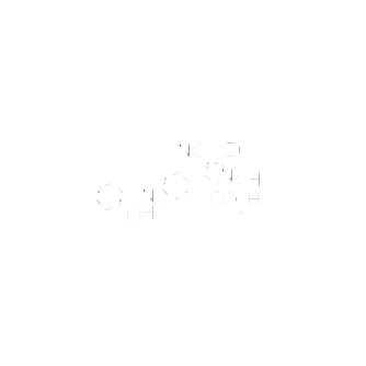 CCc1c(C#N)c(-c2ccc(NCc3ccccc3Cl)cc2)c(C(=O)O)n1C